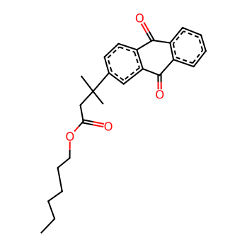 CCCCCCOC(=O)CC(C)(C)c1ccc2c(c1)C(=O)c1ccccc1C2=O